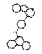 c1ccc2c(c1)cc(Nc1ccc(-c3cccc4sc5ccccc5c34)cc1)c1ccccc12